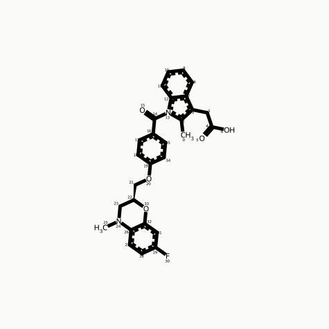 Cc1c(CC(=O)O)c2ccccc2n1C(=O)c1ccc(OC[C@@H]2CN(C)c3ccc(F)cc3O2)cc1